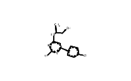 CC(CO)Nc1cc(-c2ccc(Cl)cc2)nc(Cl)n1